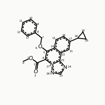 COC(=O)c1c(OCc2ccccc2)c2ccc(C3CC3)cc2c2ncnn12